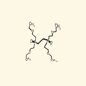 CCOCCP(=O)(CCOCC)CCP(=O)(CCOCC)CCOCC